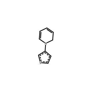 C1=CCN(c2ccsc2)C=C1